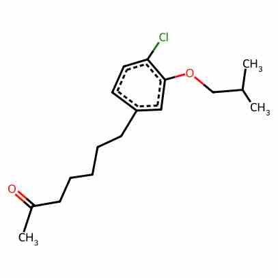 CC(=O)CCCCCc1ccc(Cl)c(OCC(C)C)c1